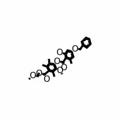 COCOC(=O)c1c(C)c(C)c(OC(=O)c2c(C)cc(OCc3ccccc3)cc2OC)c(OC)c1C